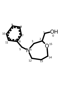 OCC1CN(Cc2ccccc2)CCCO1